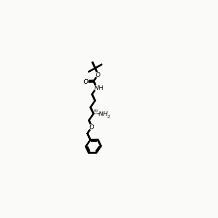 CC(C)(C)OC(=O)NCCC[C@H](N)COCc1ccccc1